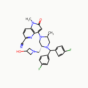 C[C@H]1CN(C(c2ccc(F)cc2)c2ccc(F)cc2)[C@H](CN2CC(O)C2)CN1c1cc(=O)n(C)c2ccc(C#N)nc12